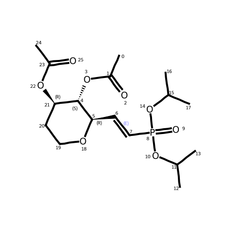 CC(=O)O[C@@H]1[C@@H](/C=C/P(=O)(OC(C)C)OC(C)C)OCC[C@H]1OC(C)=O